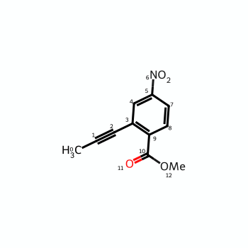 CC#Cc1cc([N+](=O)[O-])ccc1C(=O)OC